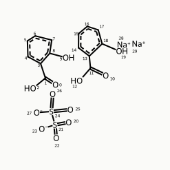 O=C(O)c1ccccc1O.O=C(O)c1ccccc1O.O=S(=O)([O-])S(=O)(=O)[O-].[Na+].[Na+]